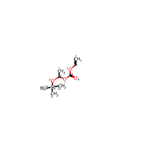 C=COC(=O)OC(C)O[Si](C)(C)C(C)(C)C